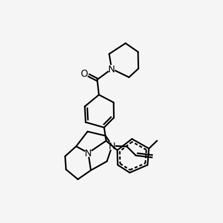 C=CCN1CCC2CCCC(C1)N2C(C1=CCC(C(=O)N2CCCCC2)C=C1)c1cccc(C)c1